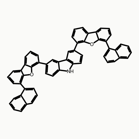 c1ccc2c(-c3cccc4c3oc3c(-c5ccc6[nH]c7ccc(-c8cccc9c8oc8c(-c%10cccc%11ccccc%10%11)cccc89)cc7c6c5)cccc34)cccc2c1